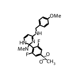 CNC1(c2c(F)cc(S(C)(=O)=O)cc2F)N=C(NCc2ccc(OC)cc2)C=CN1